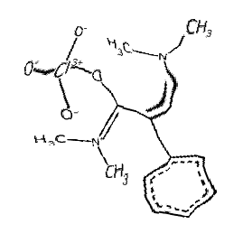 CN(C)C=C(C(O[Cl+3]([O-])([O-])[O-])=[N+](C)C)c1ccccc1